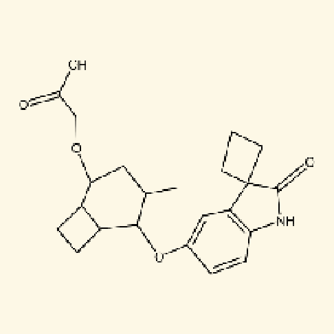 CC1CC(OCC(=O)O)C2CCC2C1Oc1ccc2c(c1)C1(CCC1)C(=O)N2